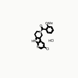 COc1ccccc1C(=O)N1CCc2[nH]c3ncc(Cl)cc3c2C1.Cl